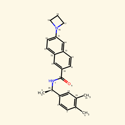 Cc1ccc([C@@H](C)NC(=O)c2ccc3cc(N4CCC4)ccc3c2)cc1C